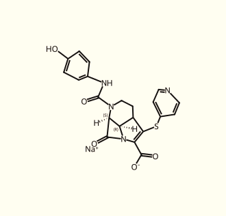 O=C([O-])C1=C(Sc2ccncc2)C2CCN(C(=O)Nc3ccc(O)cc3)[C@@H]3C(=O)N1[C@H]23.[Na+]